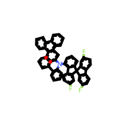 Fc1ccc2c(c1)C1(c3cc(F)ccc3-2)c2cc(F)ccc2-c2c(N(c3ccc4c5ccccc5c5ccccc5c4c3)c3ccccc3-c3ccccc3)cccc21